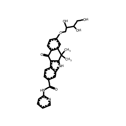 CC1(C)c2cc(OCC(O)C(O)CO)ccc2C(=O)c2c1[nH]c1cc(C(=O)Nc3ccccn3)ccc21